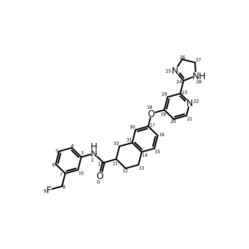 O=C(Nc1cccc(CF)c1)C1CCc2ccc(Oc3ccnc(C4=NCCN4)c3)cc2C1